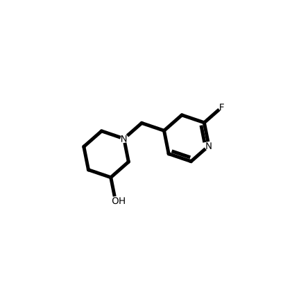 OC1CCCN(CC2C=CN=C(F)C2)C1